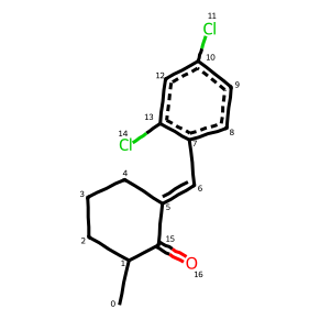 CC1CCC/C(=C\c2ccc(Cl)cc2Cl)C1=O